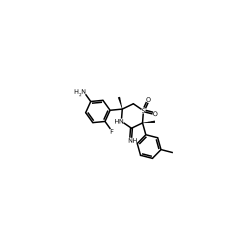 Cc1cccc([C@]2(C)C(=N)N[C@](C)(c3cc(N)ccc3F)CS2(=O)=O)c1